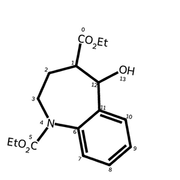 CCOC(=O)C1CCN(C(=O)OCC)c2ccccc2C1O